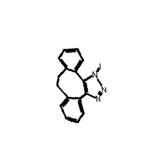 In1nnc2c1-c1ccccc1CCc1ccccc1-2